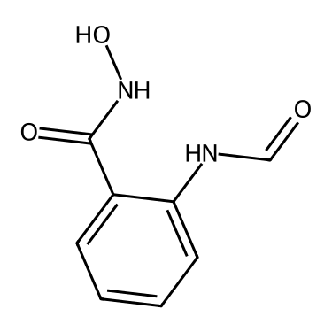 O=CNc1ccccc1C(=O)NO